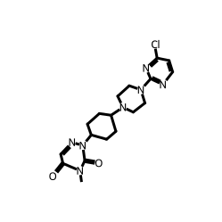 Cn1c(=O)cnn(C2CCC(N3CCN(c4nccc(Cl)n4)CC3)CC2)c1=O